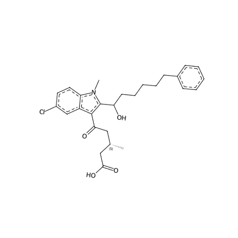 C[C@H](CC(=O)O)CC(=O)c1c(C(O)CCCCCc2ccccc2)n(C)c2ccc(Cl)cc12